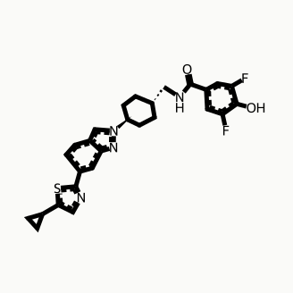 O=C(NC[C@H]1CC[C@H](n2cc3ccc(-c4ncc(C5CC5)s4)cc3n2)CC1)c1cc(F)c(O)c(F)c1